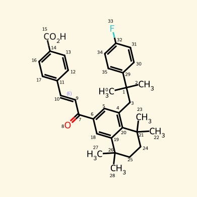 CC(C)(Cc1cc(C(=O)/C=C/c2ccc(C(=O)O)cc2)cc2c1C(C)(C)CCC2(C)C)c1ccc(F)cc1